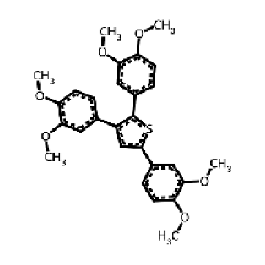 COc1ccc(-c2cc(-c3ccc(OC)c(OC)c3)c(-c3ccc(OC)c(OC)c3)s2)cc1OC